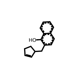 Oc1c(CC2C=CCC2)ccc2ccccc12